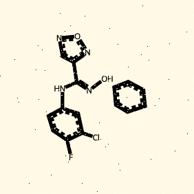 ON=C(Nc1ccc(F)c(Cl)c1)c1cnon1.c1ccccc1